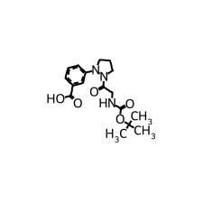 CC(C)(C)OC(=O)NCC(=O)N1CCCN1c1cccc(C(=O)O)c1